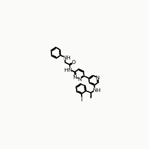 CC(Nc1cncc(-c2ccc(NC(=O)CNc3ccccc3)nn2)c1)c1ccccc1I